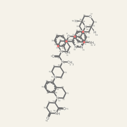 CN(C(=O)N1CCC(Oc2cccc(N3[C@@H]4COC[C@H]3CN(c3cc(-c5ccccc5O)nnc3N)C4)c2)CC1)C1CCN(c2cccc3c2CCCN3C2CCC(=O)NC2=O)CC1